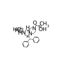 C[C@H](O)C(=O)N1CCN2[C@@H](CNC[C@H]2C(c2ccccc2)c2ccccc2)C1.Cl.Cl